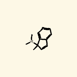 [CH3][Hf]([CH3])[C]1(C)C=Cc2ccccc21